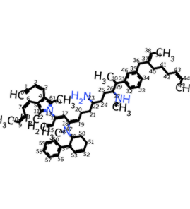 C#C/C=C\c1c(/C=C\C=C/C)c(C)n(/C(C=C)=C/C(=C\CCC(N)CCC(NC)C(C)c2cccc(C/C(=C/C)CCC/C=C\C)c2)N(C)C2CCC=CC2c2ccccc2)c1C